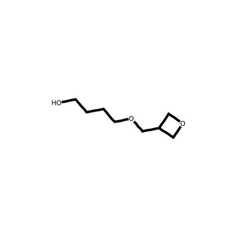 OCCCCOCC1COC1